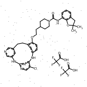 CC1(C)Cc2cccc(NC(=O)N3CCC(CCOc4ccc5cc4CCc4cncc(c4)Nc4ncc(Cl)c(n4)N5)CC3)c2O1.O=C(O)C(F)(F)F.O=C(O)C(F)(F)F